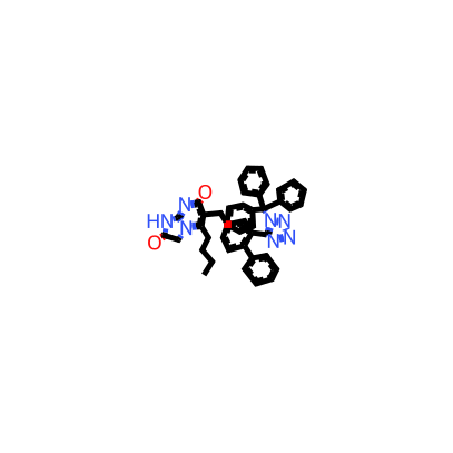 CCCCc1c(Cc2ccc(-c3ccccc3)c(-c3nnnn3C(c3ccccc3)(c3ccccc3)c3ccccc3)c2)c(=O)nc2n1CC(=O)N2